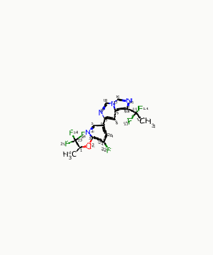 C[C@H](Oc1ncc(-c2cc3c(C(C)(F)F)ncn3cn2)cc1F)C(F)(F)F